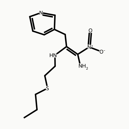 CCCSCCNC(Cc1cccnc1)=C(N)[N+](=O)[O-]